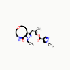 CCn1nc(C[C@@H](C)COC(=O)c2cnn(C)c2)c2c1C(=O)NCCCOCCC2